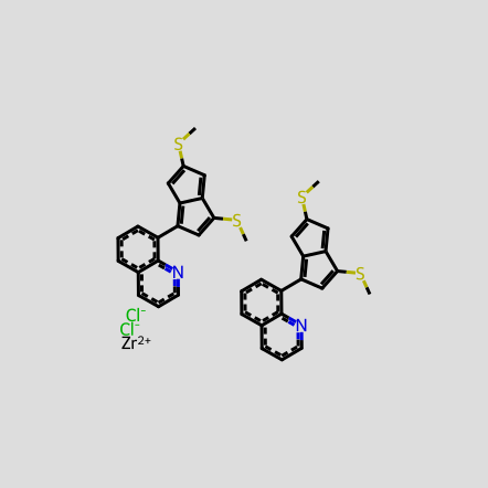 CSC1=CC2=C(c3cccc4cccnc34)C=C(SC)C2=C1.CSC1=CC2=C(c3cccc4cccnc34)C=C(SC)C2=C1.[Cl-].[Cl-].[Zr+2]